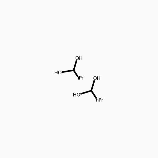 CC(C)C(O)O.CCCC(O)O